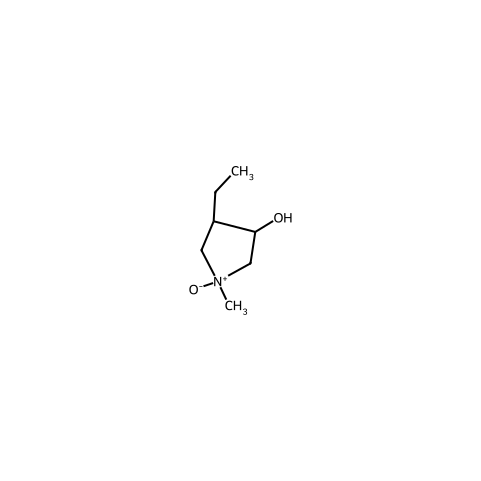 CCC1C[N+](C)([O-])CC1O